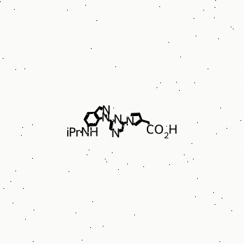 CC(C)Nc1ccc2cnn(-c3cncc(-n4ccc(CC(=O)O)c4)n3)c2c1